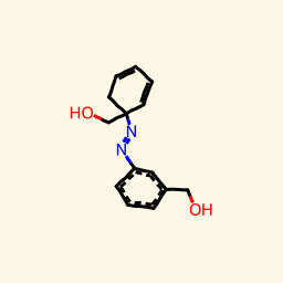 OCc1cccc(N=NC2(CO)C=CC=CC2)c1